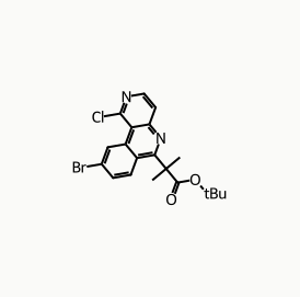 CC(C)(C)OC(=O)C(C)(C)c1nc2ccnc(Cl)c2c2cc(Br)ccc12